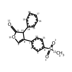 [11CH3]S(=O)(=O)c1ccc(C2=COC(=O)C2c2ccccc2)cc1